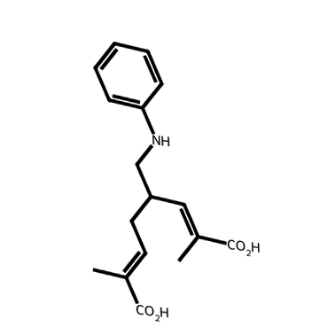 CC(=CCC(C=C(C)C(=O)O)CNc1ccccc1)C(=O)O